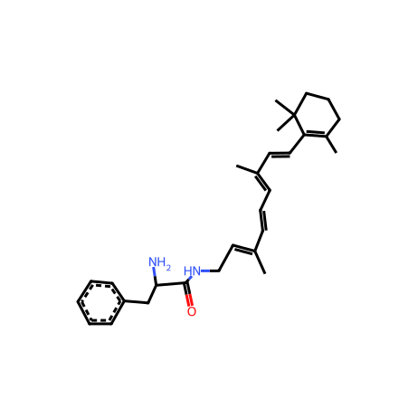 CC(C=CC1=C(C)CCCC1(C)C)=CC=CC(C)=CCNC(=O)C(N)Cc1ccccc1